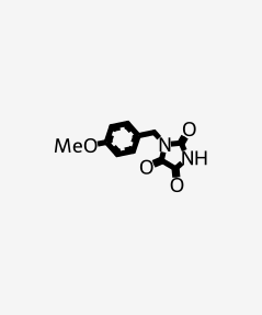 COc1ccc(CN2C(=O)NC(=O)C2=O)cc1